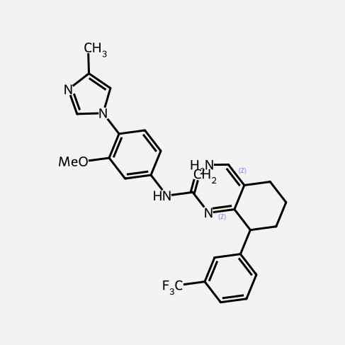 C=C(/N=C1\C(=C/N)CCCC1c1cccc(C(F)(F)F)c1)Nc1ccc(-n2cnc(C)c2)c(OC)c1